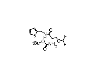 CC(C)(C)OC(N)=O.O=C(CCOC(F)F)NCc1cccs1